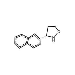 c1ccc2cc([C@@H]3CCON3)ccc2c1